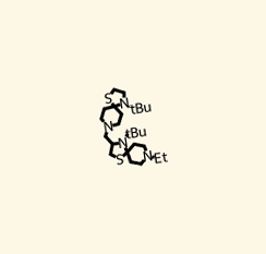 CCN1CCC2(CC1)SCC(CN1CCC3(CC1)SCCN3C(C)(C)C)N2C(C)(C)C